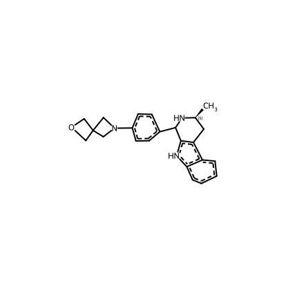 C[C@H]1Cc2c([nH]c3ccccc23)C(c2ccc(N3CC4(COC4)C3)cc2)N1